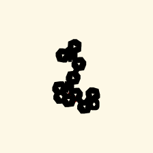 c1cc(-c2ccc(N(c3ccc(-c4cccc5oc6ccccc6c45)cc3)c3cccc4ccc5ccccc5c34)cc2)cc(-n2c3ccccc3c3ccccc32)c1